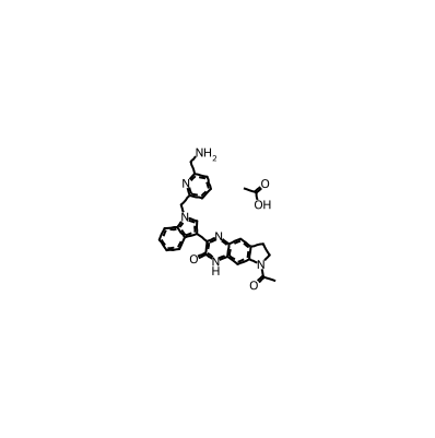 CC(=O)N1CCc2cc3nc(-c4cn(Cc5cccc(CN)n5)c5ccccc45)c(=O)[nH]c3cc21.CC(=O)O